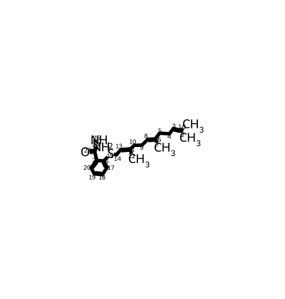 CC(C)=CCC/C(C)=C/CC/C(C)=C/CSc1ccccc1C(=O)NN